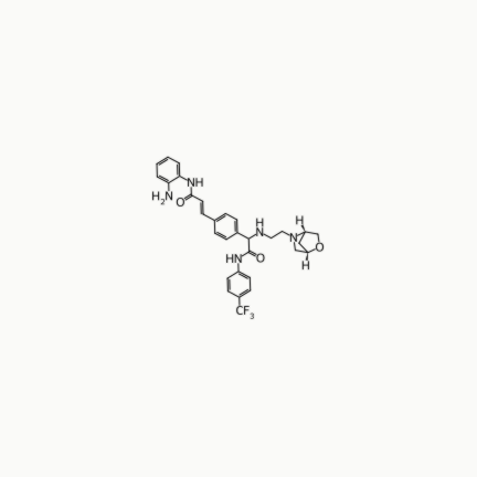 Nc1ccccc1NC(=O)C=Cc1ccc(C(NCCN2C[C@@H]3C[C@H]2CO3)C(=O)Nc2ccc(C(F)(F)F)cc2)cc1